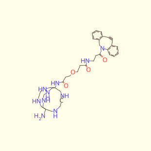 NC12CNCCNCC(NC(=O)CCOCCC(=O)NCCC(=O)N3Cc4ccccc4C#Cc4ccccc43)(CNCCNC1)CNCCNC2